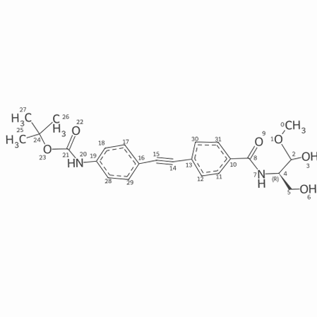 COC(O)[C@@H](CO)NC(=O)c1ccc(C#Cc2ccc(NC(=O)OC(C)(C)C)cc2)cc1